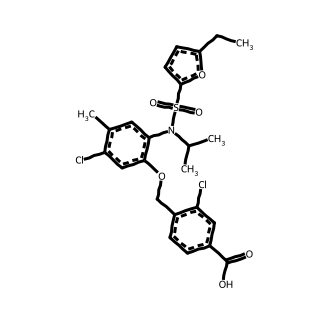 CCc1ccc(S(=O)(=O)N(c2cc(C)c(Cl)cc2OCc2ccc(C(=O)O)cc2Cl)C(C)C)o1